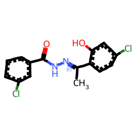 C/C(=N\NC(=O)c1cccc(Cl)c1)c1ccc(Cl)cc1O